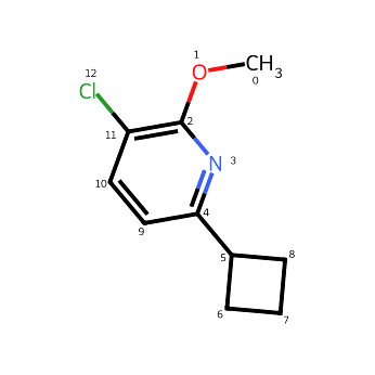 COc1nc(C2CCC2)ccc1Cl